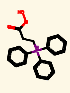 O=C(CC[PH](c1ccccc1)(c1ccccc1)c1ccccc1)OO